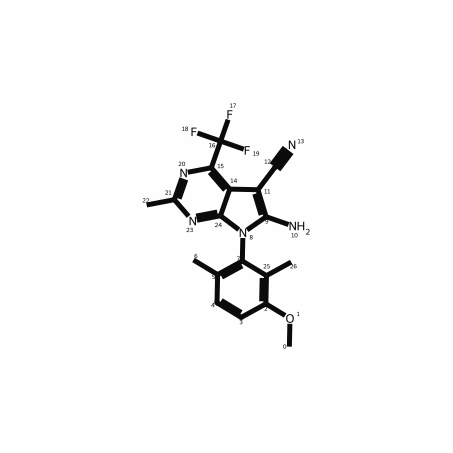 COc1ccc(C)c(-n2c(N)c(C#N)c3c(C(F)(F)F)nc(C)nc32)c1C